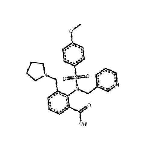 COc1ccc(S(=O)(=O)N(Cc2cccnc2)c2c(CN3CCCC3)cccc2C(=O)O)cc1